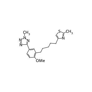 COc1ccc(-c2nnn(C)n2)cc1CCCCCc1csc(C)n1